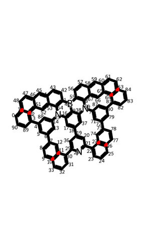 c1ccc(-c2cc(-c3ccccc3)cc(N3c4cc(-c5cc(-c6ccccc6)nc(-c6ccccc6)c5)cc5c4B(c4ccc6cc7ccccc7cc6c43)c3ccc4cc6ccccc6cc4c3N5c3cc(-c4ccccc4)cc(-c4ccccc4)c3)c2)cc1